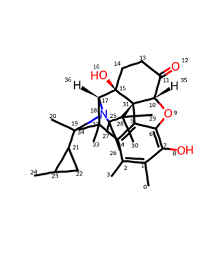 Cc1c(C)c2c3c(c1O)O[C@H]1C(=O)CC[C@@]4(O)[C@H](N(C(C)C5CC5C)C(C)(C)C(C)(C)[C@]314)C2(C)C